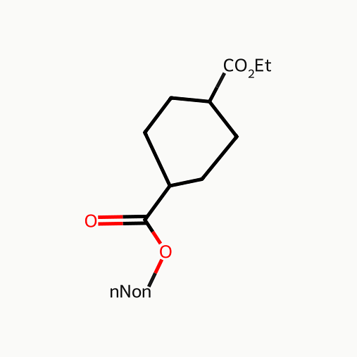 CCCCCCCCCOC(=O)C1CCC(C(=O)OCC)CC1